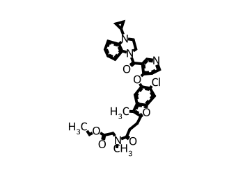 CCOC(=O)CN(C)C(=O)CCc1oc2cc(Cl)c(Oc3ccncc3C(=O)N3CCN(C4CC4)c4ccccc43)cc2c1C